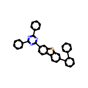 c1ccc(-c2nc(-c3ccccc3)nc(-c3ccc4c(c3)sc3cc(-c5ccccc5-c5ccccc5)ccc34)n2)cc1